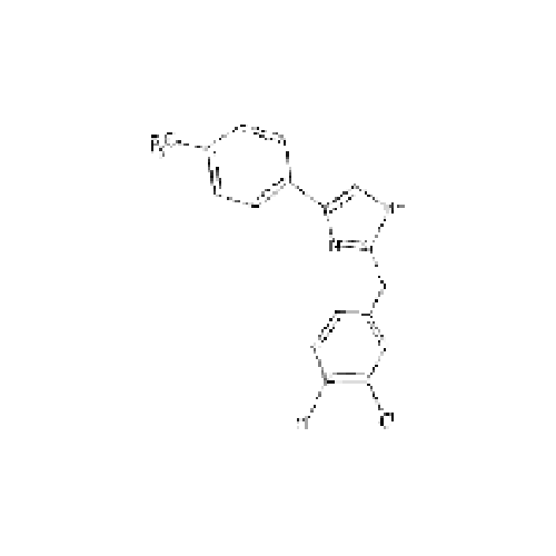 FC(F)(F)c1ccc(-c2c[nH]c(Cc3ccc(Cl)c(Cl)c3)n2)cc1